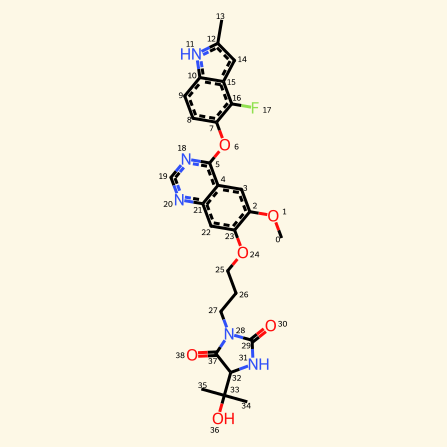 COc1cc2c(Oc3ccc4[nH]c(C)cc4c3F)ncnc2cc1OCCCN1C(=O)NC(C(C)(C)O)C1=O